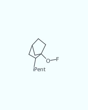 CCCC(C)C1CC2CCC1(OF)C2